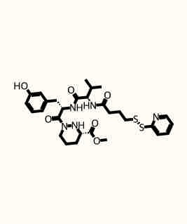 COC(=O)[C@@H]1CCCN(C(=O)[C@H](Cc2cccc(O)c2)NC(=O)[C@@H](NC(=O)CCCSSc2ccccn2)C(C)C)N1